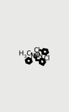 CCN(C(=O)Cc1ccccc1Nc1c(Cl)cccc1Cl)c1ccccc1